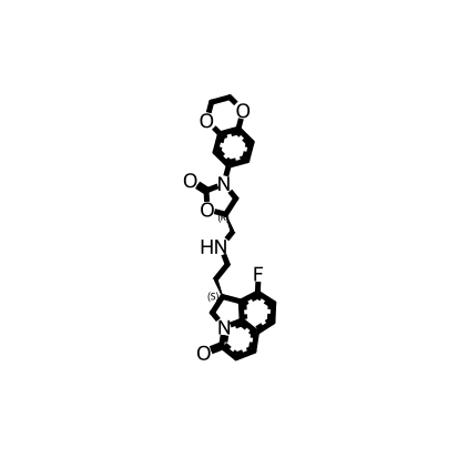 O=C1O[C@H](CNCC[C@@H]2Cn3c(=O)ccc4ccc(F)c2c43)CN1c1ccc2c(c1)OCCO2